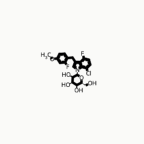 COc1ccc(Cc2cn([C@@H]3O[C@H](CO)[C@@H](O)[C@H](O)[C@H]3O)c3c(Cl)ccc(F)c23)c(F)c1